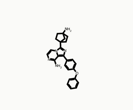 Nc1nccn2c(C34CCC(N)(CC3)C4)nc(-c3ccc(Oc4ccccc4)cc3)c12